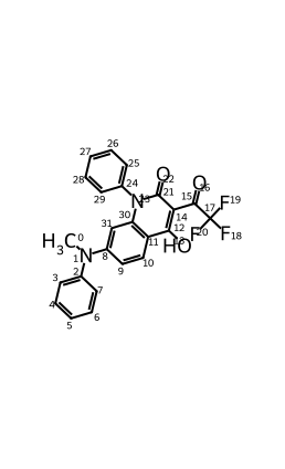 CN(c1ccccc1)c1ccc2c(O)c(C(=O)C(F)(F)F)c(=O)n(-c3ccccc3)c2c1